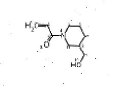 C=CC(=O)N1CCCC(CO)C1